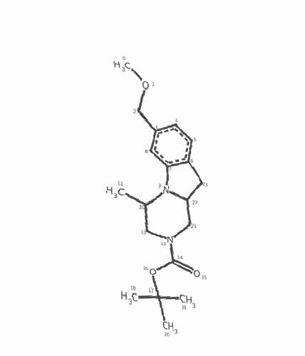 COCc1ccc2c(c1)N1C(C)CN(C(=O)OC(C)(C)C)CC1C2